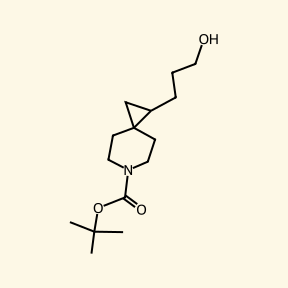 CC(C)(C)OC(=O)N1CCC2(CC1)CC2CCCO